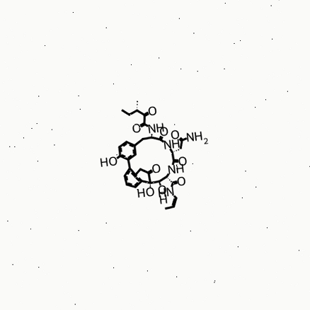 C/C=C\NC(=O)[C@H]1NC(=O)[C@@H](CC(N)=O)NC(=O)[C@@H](NC(=O)C(=O)[C@@H](C)CC)Cc2ccc(O)c(c2)-c2cccc3c2CC(=O)[C@@]3(O)[C@@H]1O